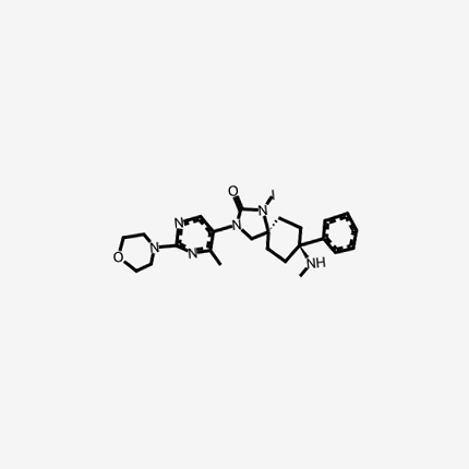 CN[C@]1(c2ccccc2)CC[C@]2(CC1)CN(c1cnc(N3CCOCC3)nc1C)C(=O)N2I